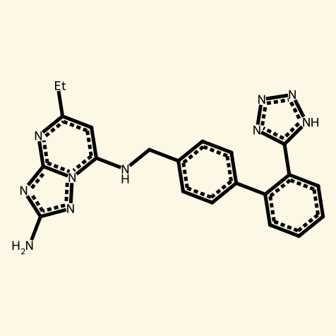 CCc1cc(NCc2ccc(-c3ccccc3-c3nnn[nH]3)cc2)n2nc(N)nc2n1